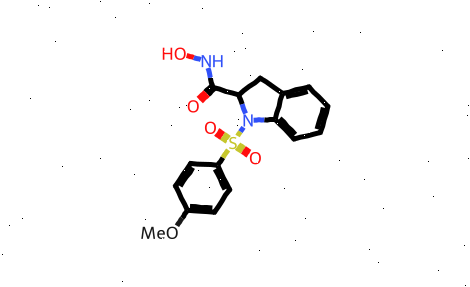 COc1ccc(S(=O)(=O)N2c3ccccc3CC2C(=O)NO)cc1